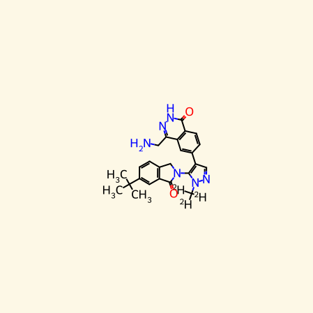 [2H]C([2H])([2H])n1ncc(-c2ccc3c(=O)[nH]nc(CN)c3c2)c1N1Cc2ccc(C(C)(C)C)cc2C1=O